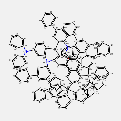 CC(C)(C)c1cc(-c2ccccc2)c(N2c3ccc(-c4ccccc4)cc3B3c4ccc(-n5c6ccccc6c6ccccc65)cc4N(c4cc(-c5ccccc5)cc(-c5ccccc5)c4)c4cc(-c5cc([Si](c6ccccc6)(c6cccc(-c7ccccc7)c6)c6cccc(-c7ccccc7)c6)cc([Si](c6ccccc6)(c6ccccc6)c6cc(-c7ccccc7)cc(-c7ccccc7)c6)c5)cc2c43)c(-c2ccccc2)c1